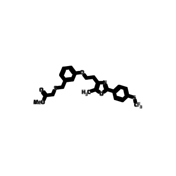 COC(=O)CSCc1cccc(OCCc2nc(-c3ccc(SC(F)(F)F)cc3)oc2C)c1